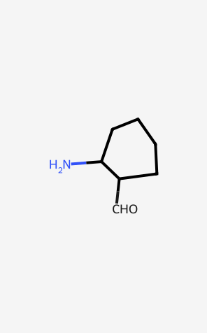 NC1CCCCC1C=O